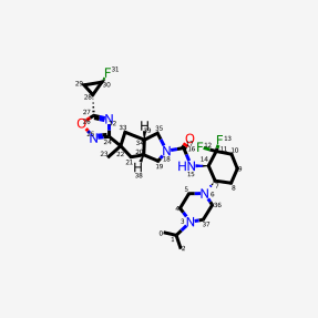 CC(C)N1CCN([C@H]2CCCC(F)(F)[C@@H]2NC(=O)N2C[C@@H]3CC(C)(c4noc([C@@H]5C[C@@H]5F)n4)C[C@@H]3C2)CC1